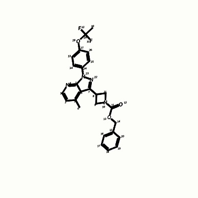 Cc1ccnc2c1c(C1CN(C(=O)OCc3ccccc3)C1)nn2-c1ccc(OC(C)(F)F)cc1